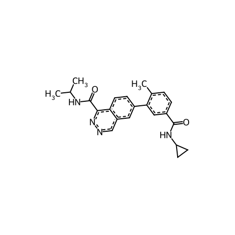 Cc1ccc(C(=O)NC2CC2)cc1-c1ccc2c(C(=O)NC(C)C)nncc2c1